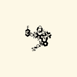 CC(C)[Si](C#Cc1cccc2c1c(-c1nccc3c1sc1nc(OC[C@@]45CCCN4C[C@H](F)C5)nc(N4CCOC[C@@](C)(O)C4)c13)nn2COCC[Si](C)(C)C)(C(C)C)C(C)C